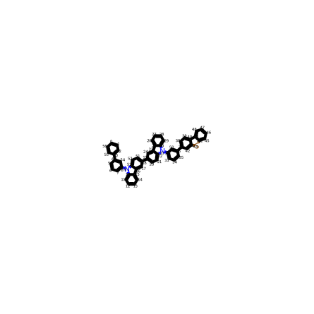 c1ccc(-c2cccc(-n3c4ccccc4c4cc(-c5ccc6c(c5)c5ccccc5n6-c5cccc(-c6ccc7c(c6)sc6ccccc67)c5)ccc43)c2)cc1